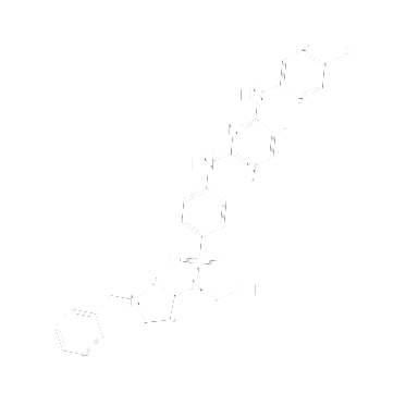 CCN(C1CCN(Cc2ccccc2)C1)S(=O)(=O)c1ccc(Nc2nccc(Nc3ccc(F)cc3)n2)cc1